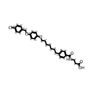 O=C(O)CCNC(=O)c1ccc(CCCCCCCOc2ccc(OCc3ccc(Cl)cc3)cc2)cc1